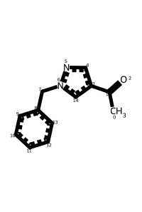 CC(=O)c1cnn(Cc2ccccc2)c1